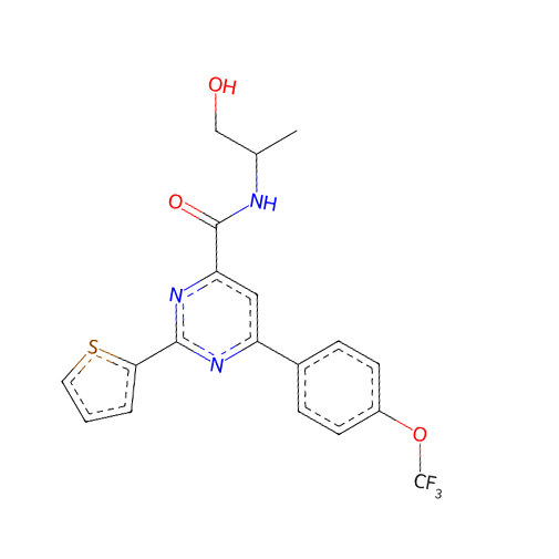 CC(CO)NC(=O)c1cc(-c2ccc(OC(F)(F)F)cc2)nc(-c2cccs2)n1